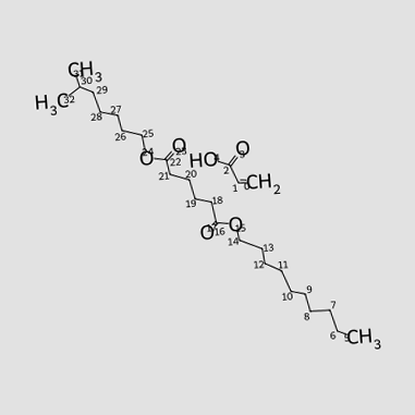 C=CC(=O)O.CCCCCCCCCCOC(=O)CCCCC(=O)OCCCCCC(C)C